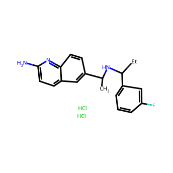 CCC(NC(C)c1ccc2nc(N)ccc2c1)c1cccc(F)c1.Cl.Cl